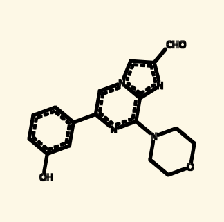 O=Cc1cn2cc(-c3cccc(O)c3)nc(N3CCOCC3)c2n1